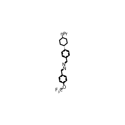 CCC[C@H]1CC[C@H](c2ccc(C=NN=Cc3ccc(OC(F)(F)F)cc3)cc2)CC1